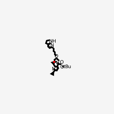 CC(C)(C)OC(=O)C(c1ccc(C2CC2)nc1C1CC1)N1CC[C@@H](OCCCCc2ccc3c(n2)NCCC3)C1